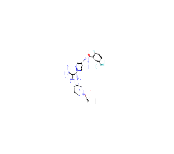 C=CC(=O)N1CCC[C@@H](n2nc(-c3ccc(CNC(=O)c4cc(C(F)(F)F)ccc4F)cc3)c3c(N)ncnc32)C1